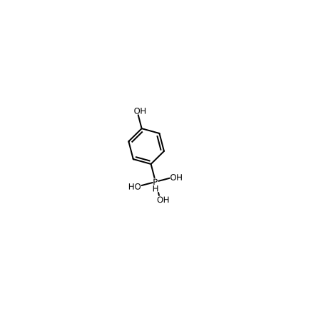 Oc1ccc([PH](O)(O)O)cc1